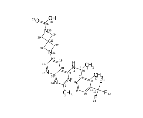 Cc1nc(N[C@H](C)c2cccc(C(F)(F)F)c2C)c2cc(N3CC4(CN(C(=O)O)C4)C3)cnc2n1